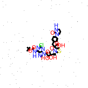 C#C[C@@]1(O)[C@@H](COC(Cc2ccc(N3CCCNC3=O)cc2)(C(=O)O)c2cscn2)O[C@@H](n2cnc3c(NC(=O)OC(C)(C)C)nc(Cl)nc32)[C@@H]1O